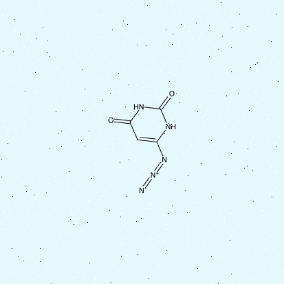 [N-]=[N+]=Nc1cc(=O)[nH]c(=O)[nH]1